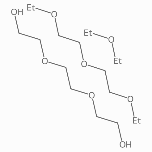 CCOCC.CCOCCOCCOCC.OCCOCCOCCO